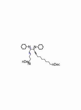 CCCCCCCCCCCC/C=C/C(=N\c1ccccc1)C(/C#CCCCCCCCCCCCCCCCCC)=N/c1ccccc1.[Ni]